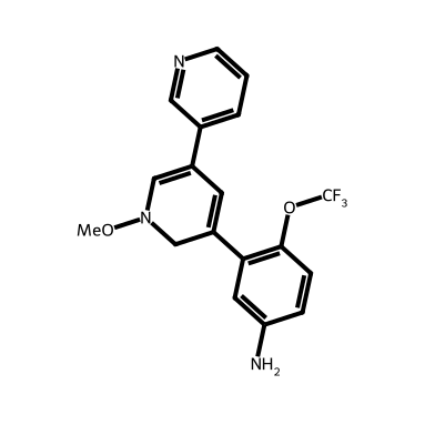 CON1C=C(c2cccnc2)C=C(c2cc(N)ccc2OC(F)(F)F)C1